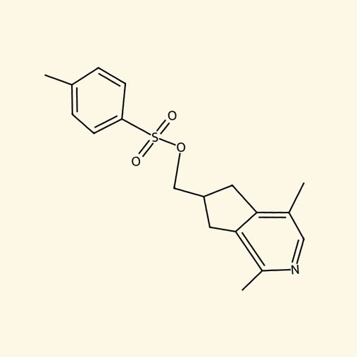 Cc1ccc(S(=O)(=O)OCC2Cc3c(C)cnc(C)c3C2)cc1